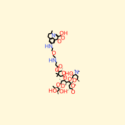 CC[C@@H](OC(=O)[C@H](C)[C@@H](O[C@H]1CC(C)(C)[C@@H](OC(=O)CCNCCOCCNc2cc3c4c(c2)c(=O)c(C(=O)O)cn4C(C)CC3)[C@H](C)O1)[C@H](C)[C@@H](O[C@@H]1O[C@H](C)C[C@H](N(C)C)[C@H]1O)[C@@](C)(C[C@@H](C)C=O)OC)[C@@](C)(O)[C@@H](C)O